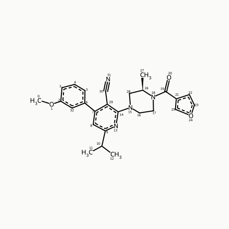 COc1cccc(-c2cc(C(C)C)nc(N3CCN(C(=O)c4ccoc4)[C@H](C)C3)c2C#N)c1